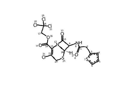 O=C(Cc1cccs1)NC1C(=O)N2C(C(=O)OCC(Cl)(Cl)Cl)=C(Cl)CS[C@H]12